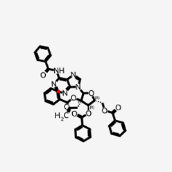 C=CC[C@]1(OC(=O)c2ccccc2)C(n2cnc3c(NC(=O)c4ccccc4)ncnc32)O[C@H](COC(=O)c2ccccc2)[C@H]1OC(=O)c1ccccc1